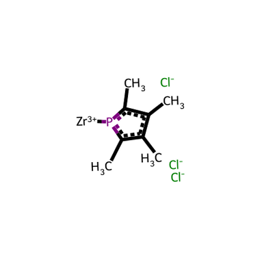 Cc1c(C)c(C)[p]([Zr+3])c1C.[Cl-].[Cl-].[Cl-]